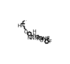 [CH2]CC(C)(C)NCCCOc1ccc2c(Nc3cc(CC(=O)Nc4cccc(F)c4F)[nH]n3)ncnc2c1